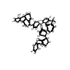 CC1(C)c2ccccc2-c2c(N(c3ccc(-c4ncc5c6c(cccc46)-c4ccccc4-5)cc3)c3ccc(-c4cccc5c4oc4ccccc45)cc3)cccc21